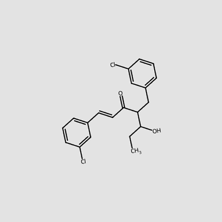 CCC(O)C(Cc1cccc(Cl)c1)C(=O)C=Cc1cccc(Cl)c1